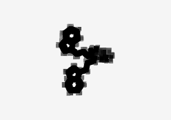 Cl.Cl.[CH3][Zr]([CH3])(=[SiH2])([CH2]CCC1C=Cc2ccccc21)[CH2]CCC1C=Cc2ccccc21